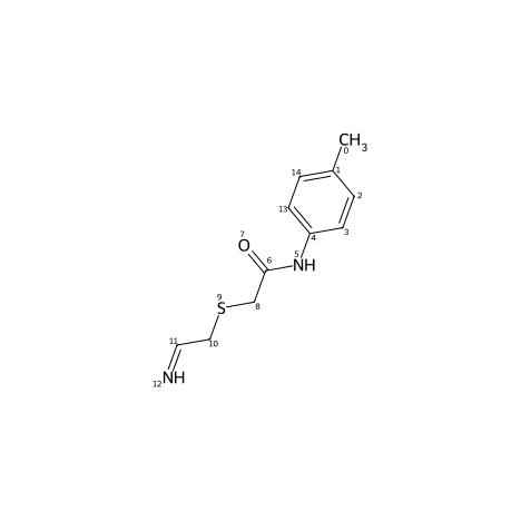 Cc1ccc(NC(=O)CSCC=N)cc1